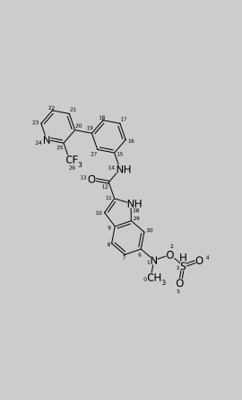 CN(O[SH](=O)=O)c1ccc2cc(C(=O)Nc3cccc(-c4cccnc4C(F)(F)F)c3)[nH]c2c1